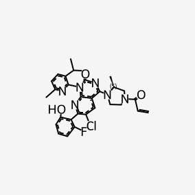 C=CC(=O)N1CCN(c2nc(=O)n(-c3nc(C)ccc3C(C)C)c3nc(-c4c(O)cccc4F)c(Cl)cc23)[C@@H](C)C1